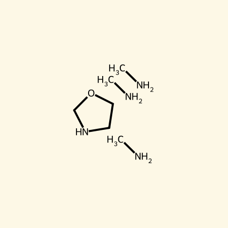 C1COCN1.CN.CN.CN